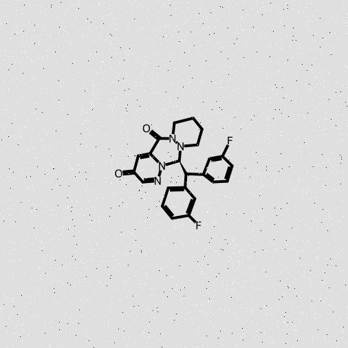 O=C1c2[c]c(=O)cnn2[C@H](C(c2cccc(F)c2)c2cccc(F)c2)N2CCCCN12